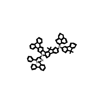 CC1(C)c2ccccc2-c2cc(N(c3ccc4c(c3)C(C)(C)c3c-4ccc4c3c3cc5c6ccccc6c6ccccc6c5cc3n4-c3cc(-c4ccccc4)nc(-c4ccccc4-c4ccccc4)n3)c3ccc4c5c(cccc35)CC=C4)ccc21